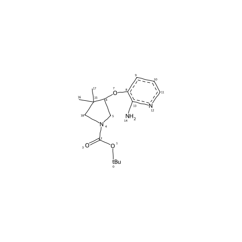 CC(C)(C)OC(=O)N1CC(Oc2cccnc2N)C(C)(C)C1